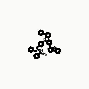 NC(NN(Cc1ccccc1)Cc1ccc(Nc2cc(-c3cccc4c3sc3ccccc34)ccc2-c2cccc(-c3ccccc3)c2)cc1)c1ccccc1